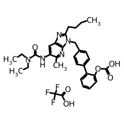 CCCCc1nc2cc(NC(=O)N(CC)CC)c(C)nc2n1Cc1ccc(-c2ccccc2OC(=O)O)cc1.O=C(O)C(F)(F)F